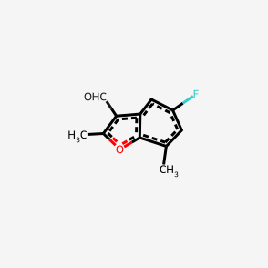 Cc1oc2c(C)cc(F)cc2c1C=O